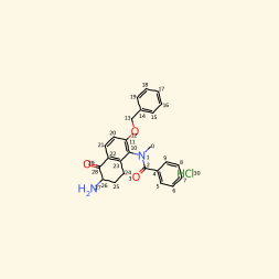 CN(C(=O)c1ccccc1)c1c(OCc2ccccc2)ccc2c1CCC(N)C2=O.Cl